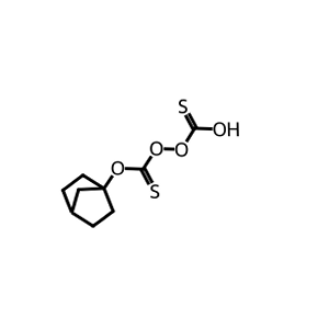 OC(=S)OOC(=S)OC12CCC(CC1)C2